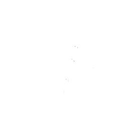 CNC(=O)c1nn(-c2ccccc2-c2ccccc2OC2CCCC2)cc(O)c1=O